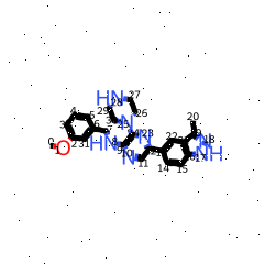 COc1cccc(CNc2ncc(-c3ccc4[nH]nc(C)c4c3)nc2N2CCNCC2)c1